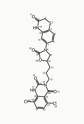 O=C1CSc2ccc(N3CC(CCCn4c(=O)[nH]c5c(Cl)ccc(Cl)c5c4=O)OC3=O)cc2N1